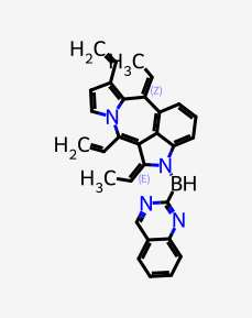 C=Cc1ccn2c(C=C)c3/c(=C\C)n(Bc4ncc5ccccc5n4)c4cccc(/c(=C/C)c12)c34